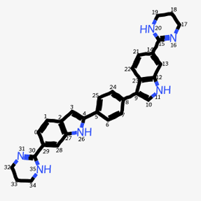 c1cc2cc(-c3ccc(-c4c[nH]c5cc(C6=NCCCN6)ccc45)cc3)[nH]c2cc1C1=NCCCN1